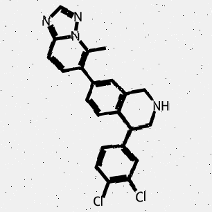 Cc1c(-c2ccc3c(c2)CNCC3c2ccc(Cl)c(Cl)c2)ccc2ncnn12